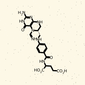 N=CN1c2c(nc(N)[nH]c2=O)NC[C@@H]1CNc1ccc(C(=O)NC(CCC(=O)O)C(=O)O)cc1